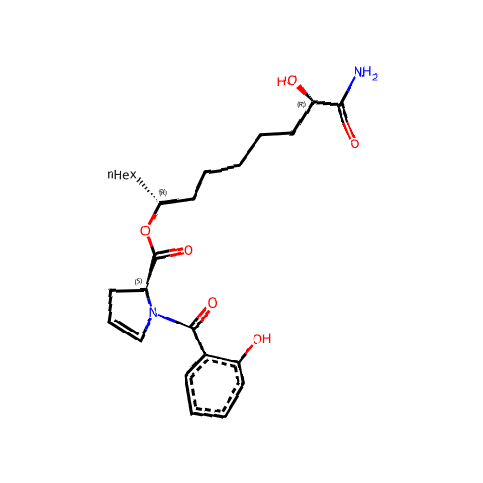 CCCCCC[C@H](CCCCC[C@@H](O)C(N)=O)OC(=O)[C@@H]1CC=CN1C(=O)c1ccccc1O